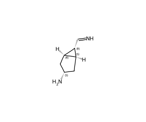 N=C[C@@H]1[C@H]2C[C@H](N)C[C@@H]12